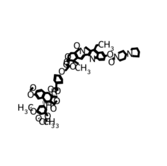 CCc1c2c(nc3ccc(OC(=O)N4CCC(N5CCCCC5)CC4)cc13)-c1cc3c(c(=O)n1C2)COC(=O)C3(CC)OC(=O)COc1ccc(C(=O)OC2c3cc4c(cc3[C@@H](c3cc(OC)c(OC)c(OC)c3)[C@H]3C(=O)OC[C@H]23)OCO4)cc1